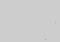 CCc1cccc(CC2CNCCO2)c1